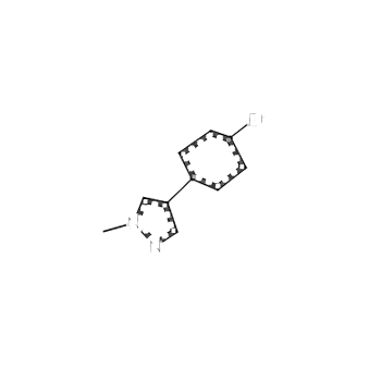 CCc1ccc(-c2cnn(C)c2)cc1